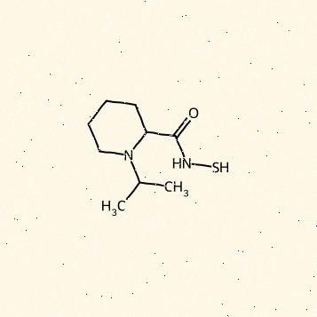 CC(C)N1CCCCC1C(=O)NS